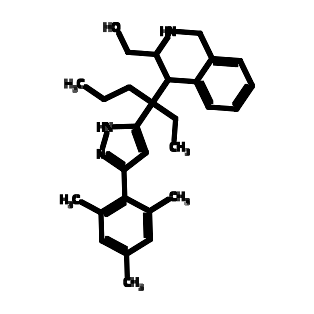 CCCC(CC)(c1cc(-c2c(C)cc(C)cc2C)n[nH]1)C1c2ccccc2CNC1CO